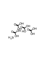 O=C(O)O.O=C(O)O.O=C(O)O.O=C(O)O.[SiH4]